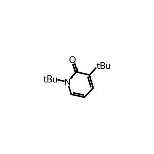 CC(C)(C)c1cccn(C(C)(C)C)c1=O